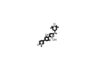 CN(c1ccc(-c2c(O)cc(-c3ccc(=O)n(C)c3)cc2F)nn1)C1CC(C)(C)NC(C)(C)C1.Cl